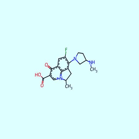 CNC1CCN(c2c(F)cc3c(=O)c(C(=O)O)cn4c3c2CC4C)C1